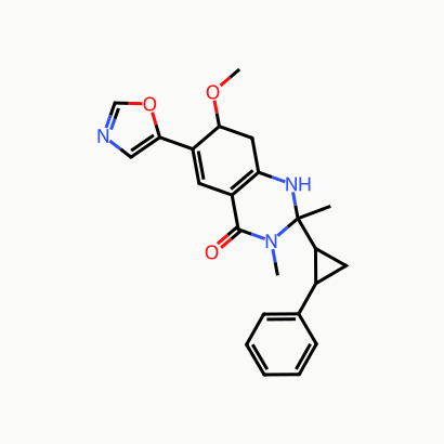 COC1CC2=C(C=C1c1cnco1)C(=O)N(C)C(C)(C1CC1c1ccccc1)N2